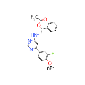 CCCOc1ccc(-c2cc(NC[C@H](OC(=O)C(F)(F)F)c3ccccc3)ncn2)cc1F